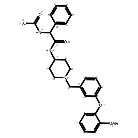 COc1ccccc1Oc1cccc(CN2CCC(NC(=O)C(NC(=O)C(F)(F)F)c3ccccc3)CC2)c1